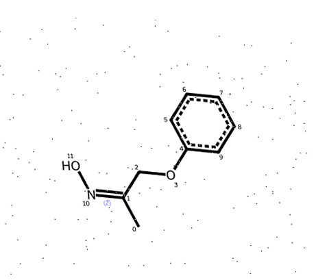 C/C(COc1ccccc1)=N/O